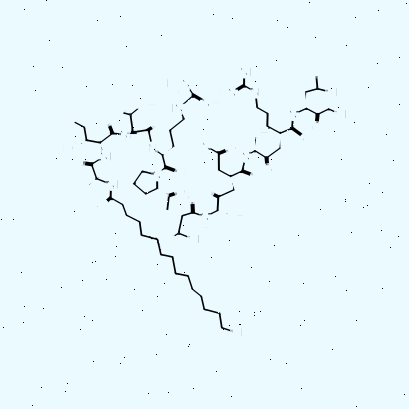 CCCCCCCCCCCCCCCC(=O)N[C@@H](C)C(=O)N[C@H](C(=O)N[C@H](C(=O)N[C@@H](CCCNC(=N)N)C(=O)N1CCC[C@H]1C(=O)C[C@H](C(=O)N[C@@H](C)C(=O)C[C@@H](CC(N)=O)C(=O)N[C@@H](C)C(=O)C[C@@H](CCCNC(=N)N)C(=O)N[C@@H](CC(C)C)C(=O)CC)C(C)C)C(C)C)[C@@H](C)CC